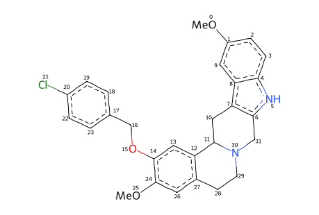 COc1ccc2[nH]c3c(c2c1)CC1c2cc(OCc4ccc(Cl)cc4)c(OC)cc2CCN1C3